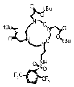 CC(C)(C)OC(=O)CN1CCN(CCNS(=O)(=O)c2cc(C(F)(F)F)ccc2C(F)(F)F)CCN(CC(=O)OC(C)(C)C)CCN(CC(=O)OC(C)(C)C)CC1